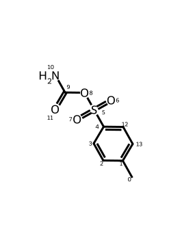 Cc1ccc(S(=O)(=O)OC(N)=O)cc1